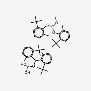 COP(Oc1c(C)cccc1C(C)(C)C)Oc1c(C)cccc1C(C)(C)C.Cc1cccc(C(C)(C)C)c1C(OP(O)O)c1c(C)cccc1C(C)(C)C